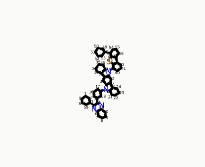 c1ccc(-c2nc3ccccc3nc2-c2cccc(-n3c4ccccc4c4cc5c(cc43)c3ccccc3n5-c3cccc4c3sc3c(-c5ccccc5)cccc34)c2)cc1